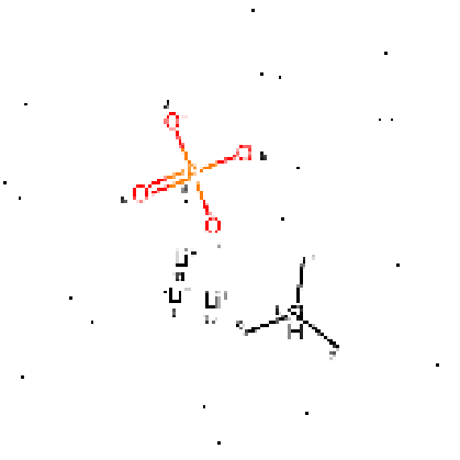 C[SiH](C)C.O=P([O-])([O-])[O-].[Li+].[Li+].[Li+]